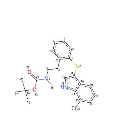 CN(CCc1ccccc1Sc1c[nH]c2c(Cl)cccc12)C(=O)OC(C)(C)C